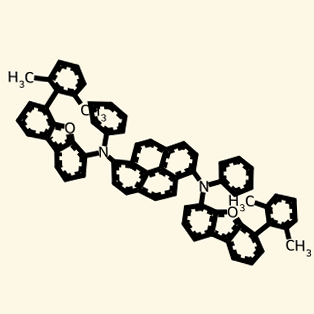 Cc1cccc(C)c1-c1cccc2c1oc1c(N(c3ccccc3)c3ccc4ccc5c(N(c6ccccc6)c6cccc7c6oc6c(-c8c(C)cccc8C)cccc67)ccc6ccc3c4c65)cccc12